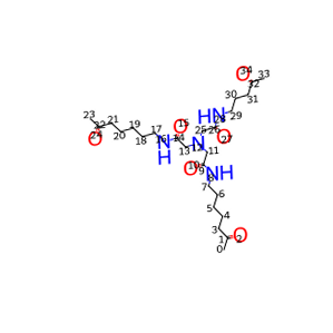 CC(=O)CCCCCNC(=O)CN(CC(=O)NCCCCCC(C)=O)CC(=O)NCCCC(C)=O